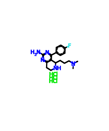 CN(C)CCCC1NCCc2nc(N)nc(-c3ccc(F)cc3)c21.Cl.Cl.Cl